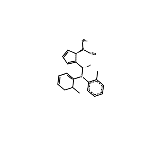 Cc1ccccc1P(C1=CC=CCC1C)[C@@H](C)C1=CC=C[C@H]1P(C(C)(C)C)C(C)(C)C